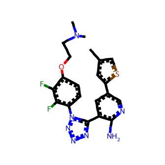 Cc1csc(-c2cnc(N)c(-c3nnnn3-c3ccc(OCCN(C)C)c(F)c3F)c2)c1